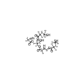 CCCC(C)(C)C(=O)OCC(CO)(COC(=O)C(C)NCSC(=O)C(C)(C)CC(C)(C)S)COC(=O)C(C)(C)CC(C)(C)S